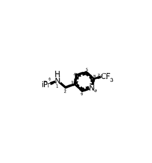 CC(C)NCc1ccc(C(F)(F)F)nc1